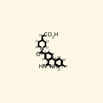 Cc1ccc(-c2ccc(C(=O)N3CCC(CC(=O)O)CC3)cc2C(=N)N)cc1